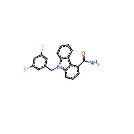 NC(=O)c1cccc2c1c1[c]cccc1n2Cc1cc(F)cc(F)c1